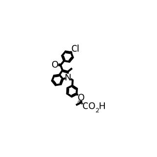 Cc1c(C(=O)c2ccc(Cl)cc2)c2ccccc2n1Cc1cccc(O[C@H](C)C(=O)O)c1